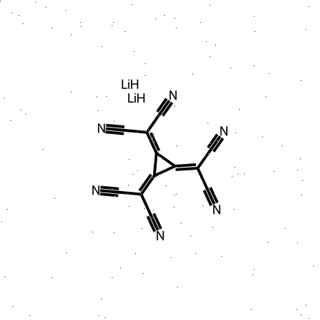 N#CC(C#N)=C1C(=C(C#N)C#N)C1=C(C#N)C#N.[LiH].[LiH]